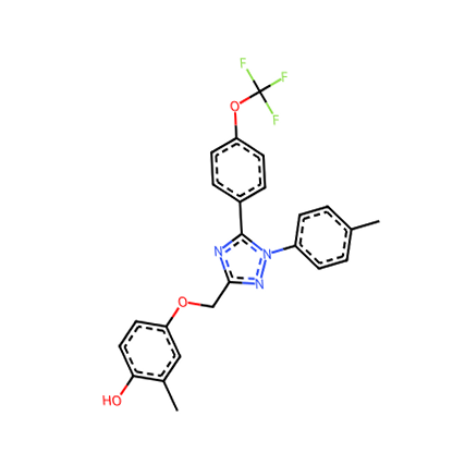 Cc1ccc(-n2nc(COc3ccc(O)c(C)c3)nc2-c2ccc(OC(F)(F)F)cc2)cc1